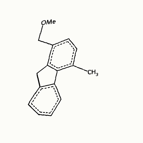 COCc1ccc(C)c2c1Cc1ccccc1-2